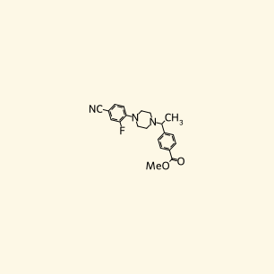 COC(=O)c1ccc(C(C)N2CCN(c3ccc(C#N)cc3F)CC2)cc1